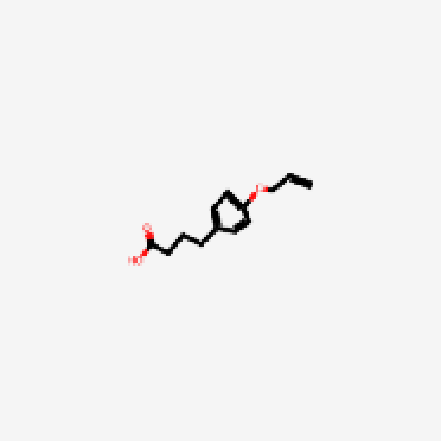 C=CCOc1ccc(CCCC(=O)O)cc1